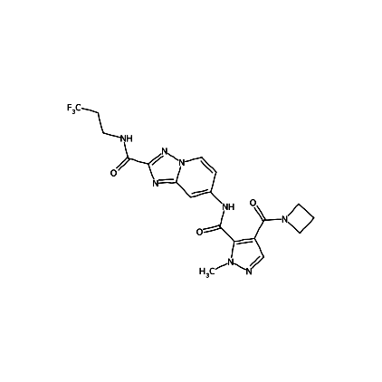 Cn1ncc(C(=O)N2CCC2)c1C(=O)Nc1ccn2nc(C(=O)NCCC(F)(F)F)nc2c1